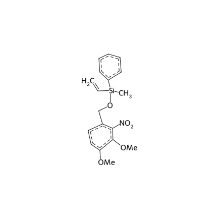 C=C[Si](C)(OCc1ccc(OC)c(OC)c1[N+](=O)[O-])c1ccccc1